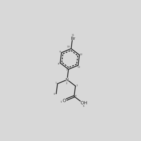 CCN(CC(=O)O)c1ccc(Br)cc1